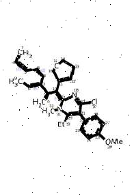 C=C(C(/C=C\C=C/C)=C/C)/C(C1=CCCCC1)=C1/N=C(Cl)C(c2ccc(OC)cc2)=C(CC)N1C